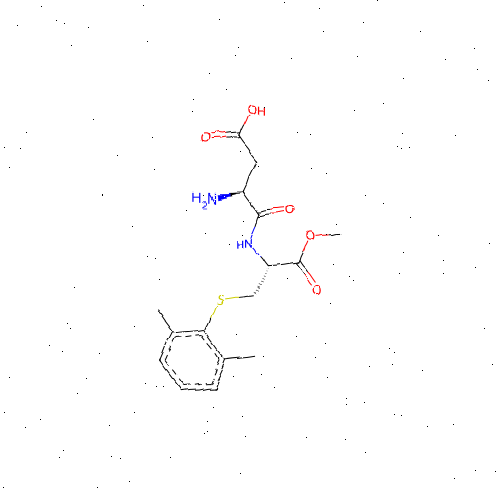 COC(=O)[C@H](CSc1c(C)cccc1C)NC(=O)[C@@H](N)CC(=O)O